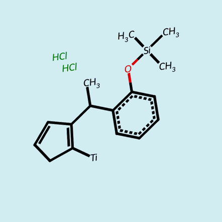 CC(C1=[C]([Ti])CC=C1)c1ccccc1O[Si](C)(C)C.Cl.Cl